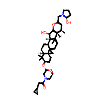 C[C@@H]1CC(CN2CCC[C@H]2O)OC2[C@H]1C1(C)CCC34CC35CCC(O[C@H]3CN(C(=O)CC6CC6)CCO3)C(C)(C)[C@@H]5CCC4[C@]1(C)[C@H]2O